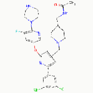 CC(=O)NCC1CCN(Cc2cc(Oc3cnc(N4CCNCC4)c(F)c3)nc(-c3cc(Cl)cc(Cl)c3)c2)CC1